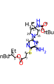 CCCCC(CC)COC(=O)CCSc1ncc(N2CCC(C)(NC(=O)OC(C)(C)C)CC2)nc1N